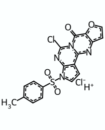 Cc1ccc(S(=O)(=O)n2ccc3c2nc(Cl)n2c(=O)c4occc4nc32)cc1.[Cl-].[H+]